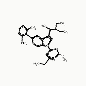 CCc1cc(-n2cc(C(O)C(CC)CC)c3cc(-c4c(C)cccc4C)ncc32)nc(OC)n1